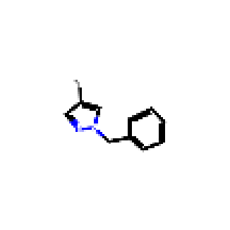 [2H]c1cnn(Cc2ccccc2)c1